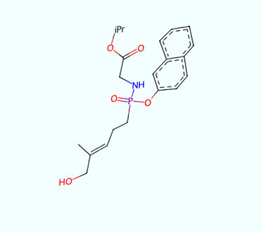 C/C(=C\CCP(=O)(NCC(=O)OC(C)C)Oc1ccc2ccccc2c1)CO